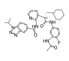 CC(=O)Nc1cc(NC(=O)[C@@H](CC2CCCCC2)c2cccnc2NC(=O)c2ccc3c(c2)nnn3C(C)C)ccc1F